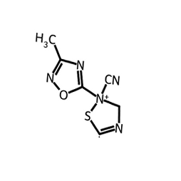 Cc1noc([N+]2(C#N)CN=[C]S2)n1